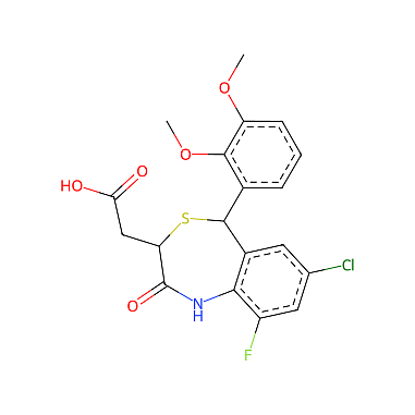 COc1cccc(C2SC(CC(=O)O)C(=O)Nc3c(F)cc(Cl)cc32)c1OC